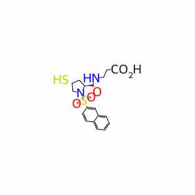 O=C(O)CCNC(=O)[C@@H]1C[C@@H](S)CN1S(=O)(=O)c1ccc2ccccc2c1